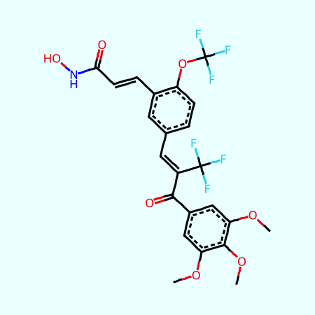 COc1cc(C(=O)C(=Cc2ccc(OC(F)(F)F)c(C=CC(=O)NO)c2)C(F)(F)F)cc(OC)c1OC